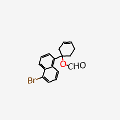 O=COC1(c2cccc3c(Br)cccc23)CC=CCC1